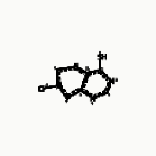 Sc1ncnc2cc(Cl)ccc12